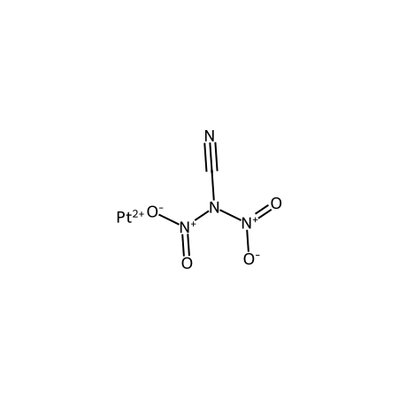 N#CN([N+](=O)[O-])[N+](=O)[O-].[Pt+2]